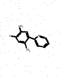 Cc1cc(F)c(N)cc1-c1ccccn1